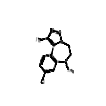 Cc1nnn2c1-c1ccc(Cl)cc1C(N)CC2